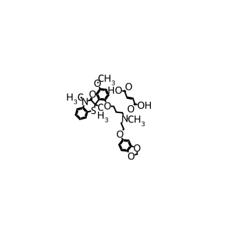 COc1ccc(OCCCN(C)CCOc2ccc3c(c2)OCO3)c(C2(C)Sc3ccccc3N(C)C2=O)c1.O=C(O)C=CC(=O)O